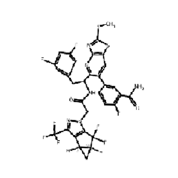 CSc1nc2nc(C(Cc3cc(F)cc(F)c3)NC(=O)Cn3nc(C(F)(F)F)c4c3C(F)(F)[C@@H]3C[C@H]43)c(-c3ccc(F)c(C(N)=O)c3)cc2s1